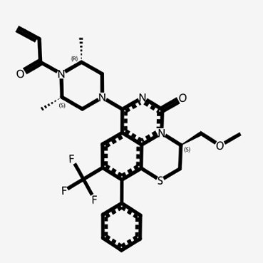 C=CC(=O)N1[C@H](C)CN(c2nc(=O)n3c4c(c(-c5ccccc5)c(C(F)(F)F)cc24)SC[C@@H]3COC)C[C@@H]1C